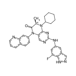 C[C@@H]1C(=O)N(c2ccc3cccnc3c2)c2cnc(Nc3cc(F)c4[nH]ncc4c3)nc2N1C1CCCCC1